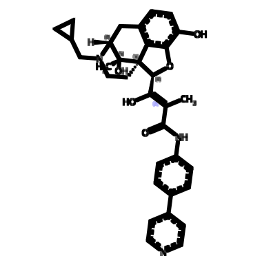 C/C(C(=O)Nc1ccc(-c2ccncc2)cc1)=C(/O)[C@@H]1Oc2c(O)ccc3c2[C@@]12CCN(CC1CC1)[C@H](C3)[C@@]2(C)O